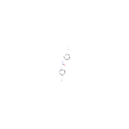 CCOc1ccc(NC(=O)Nc2cccc(OC(F)F)c2)cc1